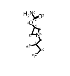 NC(=O)OC1CN(CC(F)CF)C1